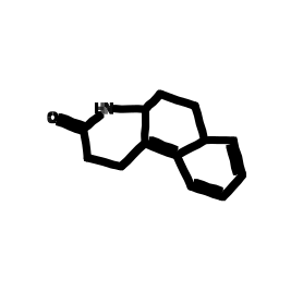 O=C1CCC2=C3C=CC=CC3CCC2N1